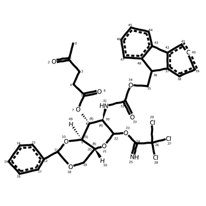 CC(=O)CCC(=O)O[C@H]1[C@@H]2OC(c3ccccc3)OC[C@H]2OC(OC(=N)C(Cl)(Cl)Cl)[C@@H]1NC(=O)OCC1c2ccccc2-c2ccccc21